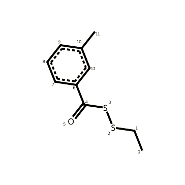 CCSSC(=O)c1cccc(C)c1